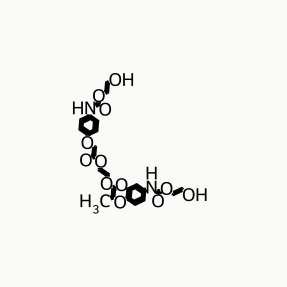 CC(Oc1ccc(NC(=O)OCCO)cc1)C(=O)OCCOC(=O)COc1ccc(NC(=O)OCCO)cc1